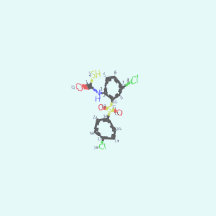 O=C(S)Nc1ccc(Cl)cc1S(=O)(=O)c1ccc(Cl)cc1